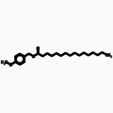 CCCCCCCCCCCCCCCC(=O)OCc1ccc(OC)cc1